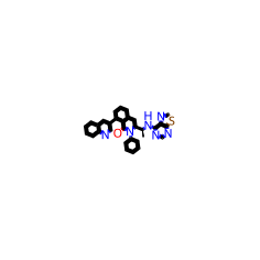 C[C@H](Nc1ncnc2scnc12)c1cc2cccc(-c3cnc4ccccc4c3)c2c(=O)n1-c1ccccc1